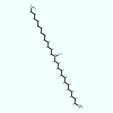 CCCCCCCCCCCCCCB(F)CCCCCCCCCCCCCC